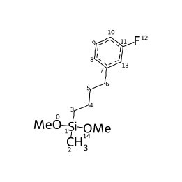 CO[Si](C)(CCCCc1cccc(F)c1)OC